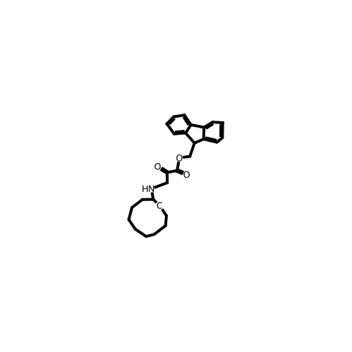 O=C(CNC1CCCCCCCCC1)C(=O)OCC1c2ccccc2-c2ccccc21